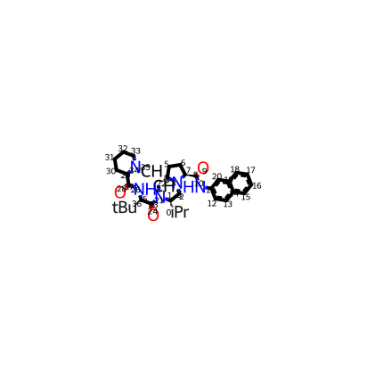 CC(C)[C@@H](CN1CCC[C@H]1C(=O)Nc1ccc2ccccc2c1)N(C)C(=O)[C@@H](NC(=O)C1CCCCN1C)C(C)(C)C